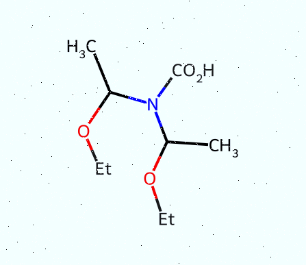 CCOC(C)N(C(=O)O)C(C)OCC